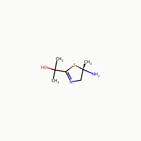 CC(C)(O)C1=NC[C@@](C)(N)S1